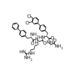 C[C@H](NC(=O)[C@H](Cc1ccc(-c2ccc(Cl)c(Cl)c2)cc1)NC(=O)[C@H](CCCCNC(=N)N)NC(=O)[C@@H](N)Cc1ccc(-c2ccccc2)cc1)C(N)=O